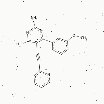 COc1cccc(-c2nc(N)nc(C)c2C#Cc2ccccn2)c1